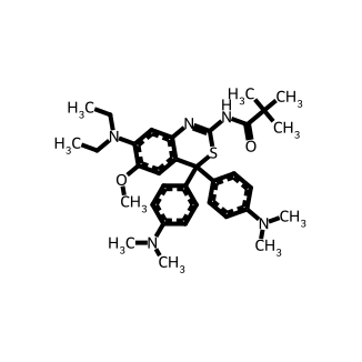 CCN(CC)c1cc2c(cc1OC)C(c1ccc(N(C)C)cc1)(c1ccc(N(C)C)cc1)SC(NC(=O)C(C)(C)C)=N2